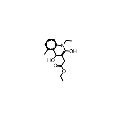 CCOC(=O)CC1=C(O)N(CC)c2cccc(C)c2C1O